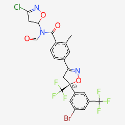 Cc1cc(C2=NO[C@@](c3cc(Br)cc(C(F)(F)F)c3)(C(F)(F)F)C2)ccc1C(=O)N(C=O)C1CC(Cl)=NO1